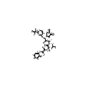 CC(C)C[C@H](NC(=O)C(=O)Nc1ccccc1F)C(=O)N[C@@H](C[C@@H]1CCNC1=O)C(=O)COc1ccnc(C(F)(F)F)n1